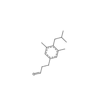 Cc1cc(CCC=O)cc(C)c1CC(C)C